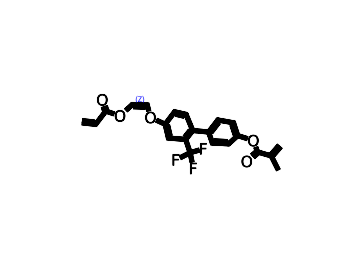 C=CC(=O)O/C=C\Oc1ccc(-c2ccc(OC(=O)C(=C)C)cc2)c(C(F)(F)F)c1